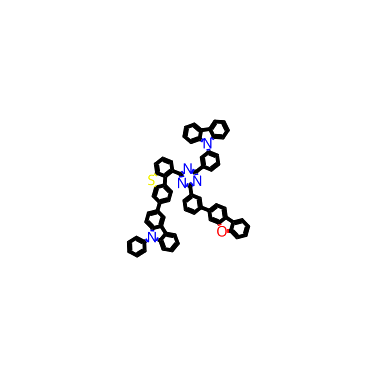 c1ccc(-n2c3ccccc3c3cc(-c4ccc5c(c4)sc4cccc(-c6nc(-c7cccc(-c8ccc9c(c8)oc8ccccc89)c7)nc(-c7cccc(-n8c9ccccc9c9ccccc98)c7)n6)c45)ccc32)cc1